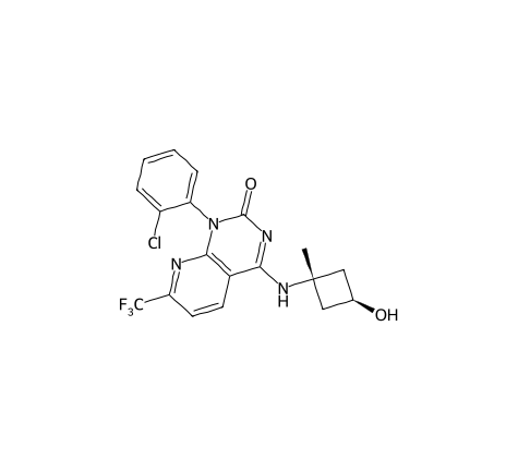 C[C@]1(Nc2nc(=O)n(-c3ccccc3Cl)c3nc(C(F)(F)F)ccc23)C[C@H](O)C1